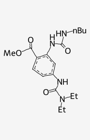 CCCCNC(=O)Nc1cc(NC(=O)N(CC)CC)ccc1C(=O)OC